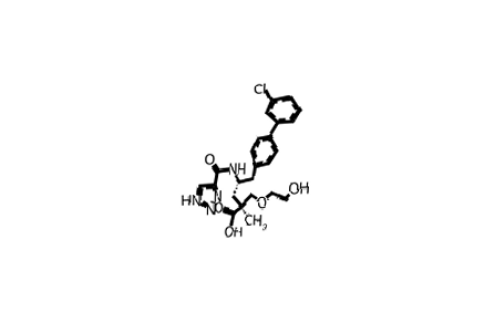 C[C@@](COCCO)(C[C@@H](Cc1ccc(-c2cccc(Cl)c2)cc1)NC(=O)c1c[nH]nn1)C(=O)O